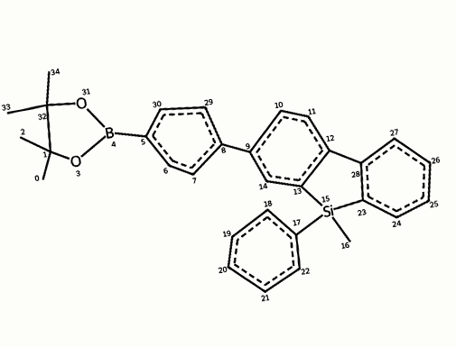 CC1(C)OB(c2ccc(-c3ccc4c(c3)[Si](C)(c3ccccc3)c3ccccc3-4)cc2)OC1(C)C